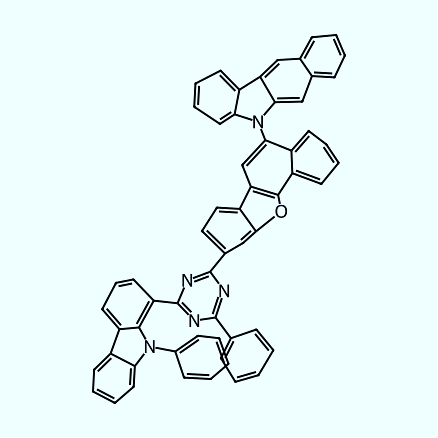 c1ccc(-c2nc(-c3ccc4c(c3)oc3c5ccccc5c(-n5c6ccccc6c6cc7ccccc7cc65)cc43)nc(-c3cccc4c5ccccc5n(-c5ccccc5)c34)n2)cc1